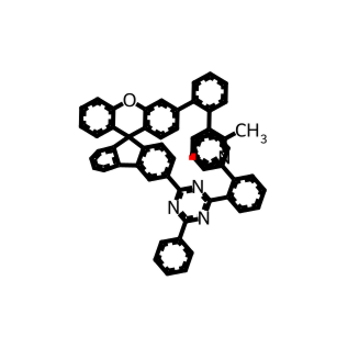 Cc1ncccc1-c1ccccc1-c1ccc2c(c1)Oc1ccccc1C21c2ccccc2-c2cc(-c3nc(-c4ccccc4)nc(-c4ccccc4-c4ccccc4)n3)ccc21